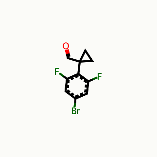 O=CC1(c2c(F)cc(Br)cc2F)CC1